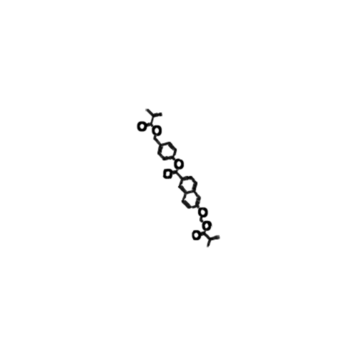 C=C(C)C(=O)OCOc1ccc2cc(C(=O)Oc3ccc(COC(=O)C(=C)C)cc3)ccc2c1